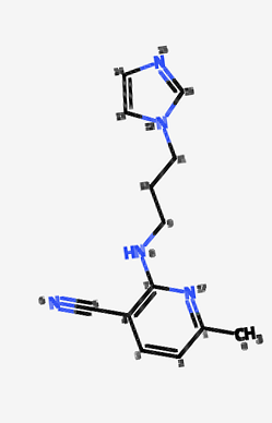 Cc1ccc(C#N)c(NCCCn2ccnc2)n1